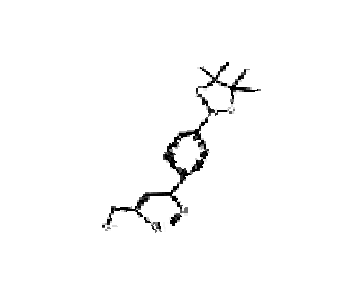 C=NC(/C=C(\O)CO)c1ccc(B2OC(C)(C)C(C)(C)O2)cc1